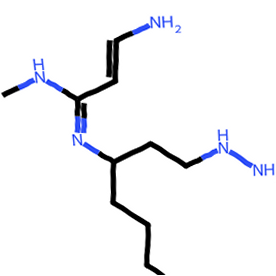 CCCCC(CCNN)/N=C(\C=C\N)NC